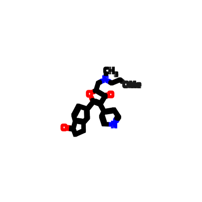 COCCN(C)CC1OC(c2ccc3c(c2)CCC3=O)=C(c2ccncc2)C1=O